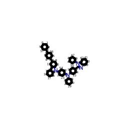 c1ccc(-c2ccc(-c3ccc4c(c3)c3ccccc3n4-c3ccc(N(c4ccccc4)c4ccc(-c5nc6ccccc6n5-c5ccccc5)cc4)cc3)cc2)cc1